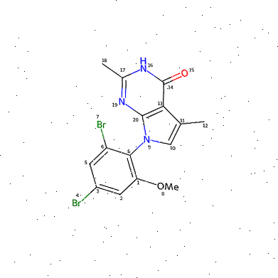 COc1cc(Br)cc(Br)c1-n1cc(C)c2c(=O)[nH]c(C)nc21